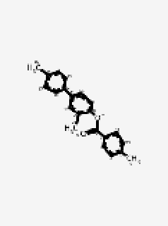 Cc1ccc(C(=O)Oc2ccc(-c3ccc(C)cc3)cc2C)cc1